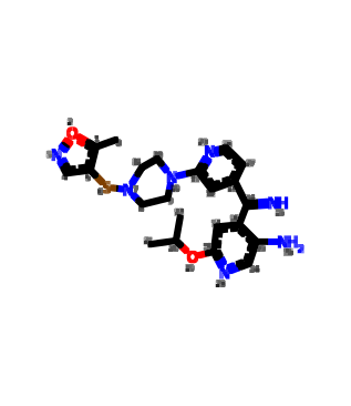 Cc1oncc1SN1CCN(c2cc(C(=N)c3cc(OC(C)C)ncc3N)ccn2)CC1